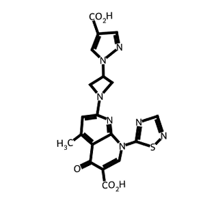 Cc1cc(N2CC(n3cc(C(=O)O)cn3)C2)nc2c1c(=O)c(C(=O)O)cn2-c1ncns1